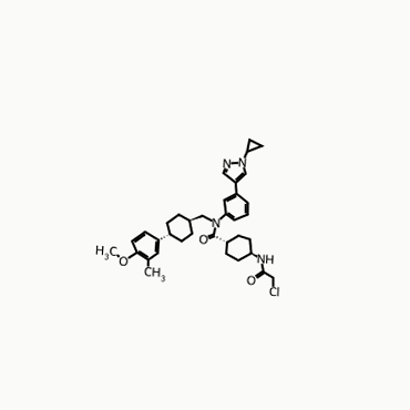 COc1ccc([C@H]2CC[C@H](CN(c3cccc(-c4cnn(C5CC5)c4)c3)C(=O)[C@H]3CC[C@H](NC(=O)CCl)CC3)CC2)cc1C